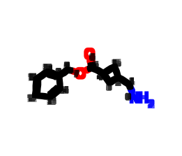 NCC1CC(C(=O)OCc2ccccc2)C1